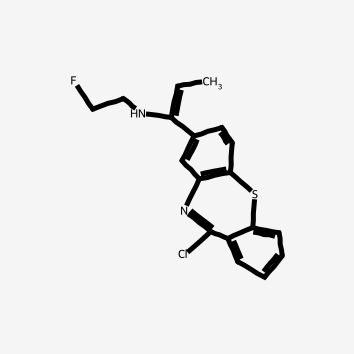 C/C=C(/NCCF)c1ccc2c(c1)N=C(Cl)c1ccccc1S2